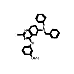 COc1cccc(Nc2nc(Cl)nc3c2CC(N(Cc2ccccc2)Cc2ccccc2)CC3)c1